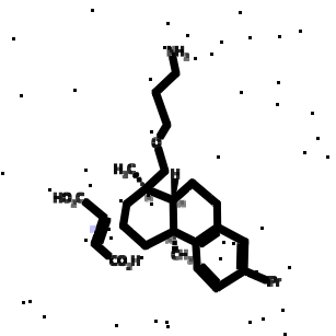 CC(C)c1ccc2c(c1)CC[C@H]1[C@](C)(COCCCN)CCC[C@]21C.O=C(O)/C=C/C(=O)O